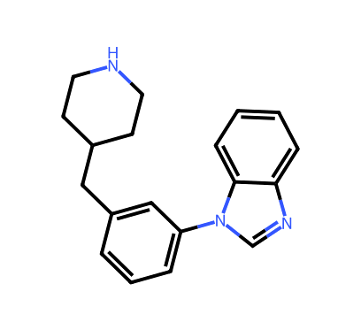 c1cc(CC2CCNCC2)cc(-n2cnc3ccccc32)c1